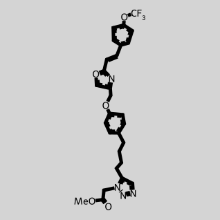 COC(=O)Cn1nncc1CCCCc1ccc(OCc2coc(C=Cc3ccc(OC(F)(F)F)cc3)n2)cc1